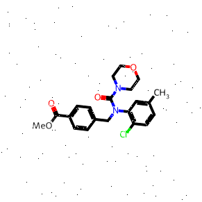 COC(=O)c1ccc(CN(C(=O)N2CCOCC2)c2cc(C)ccc2Cl)cc1